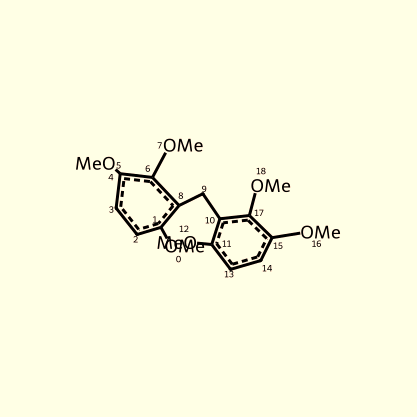 COc1ccc(OC)c(OC)c1Cc1c(OC)ccc(OC)c1OC